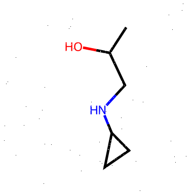 CC(O)CNC1CC1